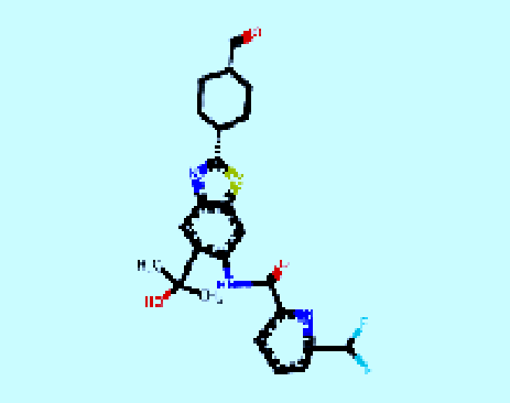 CC(C)(O)c1cc2nc([C@H]3CC[C@H](C=O)CC3)sc2cc1NC(=O)c1cccc(C(F)F)n1